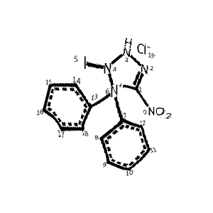 O=[N+]([O-])C1=NNN(I)[N+]1(c1ccccc1)c1ccccc1.[Cl-]